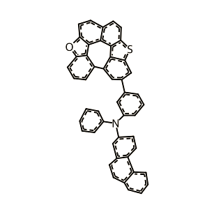 c1ccc(N(c2cccc(-c3cc4c5c(c3)sc3ccc6ccc7oc8cccc-4c8c7c6c35)c2)c2ccc3c(ccc4ccccc43)c2)cc1